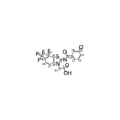 CC(C(=O)O)n1/c(=N/C(=O)c2cccc(Cl)c2)sc2c(F)c(C(F)(F)F)ccc21